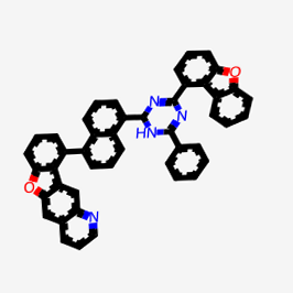 c1ccc(C2=NC(c3cccc4oc5ccccc5c34)=NC(c3cccc4c(-c5cccc6oc7cc8cccnc8cc7c56)cccc34)N2)cc1